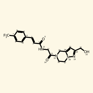 O=C(/C=C/c1ccc(C(F)(F)F)cc1)NCC(=O)N1CCn2nc(CO)cc2C1